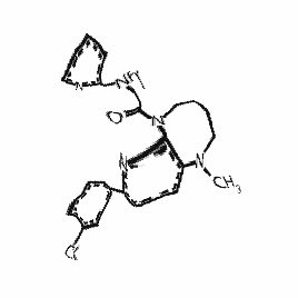 CN1CCCN(C(=O)Nc2ccccn2)c2nc(-c3cccc(Cl)c3)ccc21